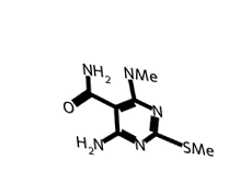 CNc1nc(SC)nc(N)c1C(N)=O